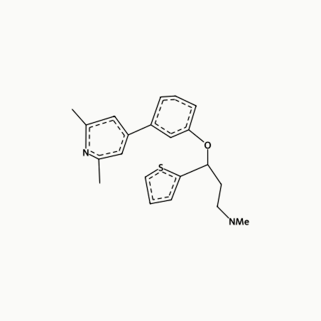 CNCCC(Oc1cccc(-c2cc(C)nc(C)c2)c1)c1cccs1